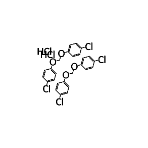 Cl.Cl.Clc1ccc(OCOc2ccc(Cl)cc2)cc1.Clc1ccc(OCOc2ccc(Cl)cc2)cc1